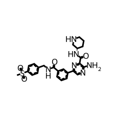 CS(=O)(=O)c1ccc(CNC(=O)c2cccc(-c3cnc(N)c(C(=O)N[C@H]4CCCNC4)n3)c2)cc1